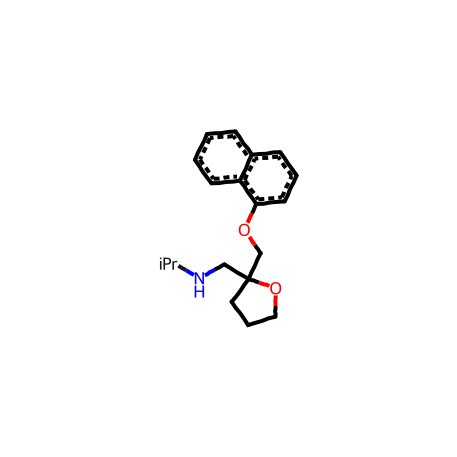 CC(C)NCC1(COc2cccc3ccccc23)CCCO1